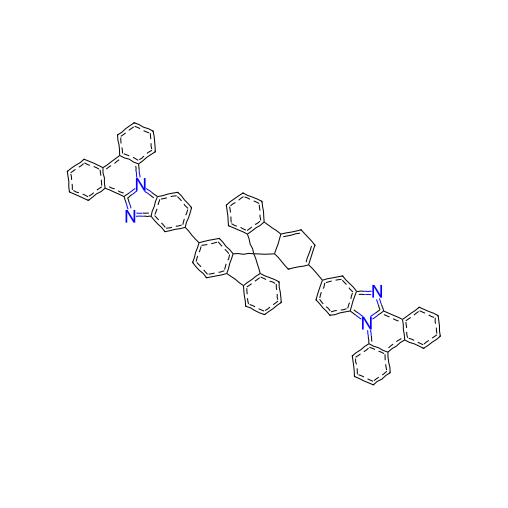 C1=C(c2ccc3c(c2)nc2c4ccccc4c4ccccc4n32)CC2C(=C1)c1ccccc1C21c2ccccc2-c2ccc(-c3ccc4c(c3)nc3c5ccccc5c5ccccc5n43)cc21